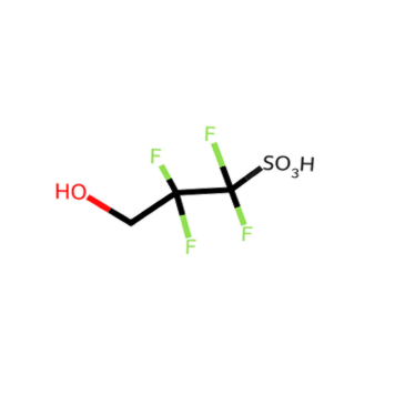 O=S(=O)(O)C(F)(F)C(F)(F)CO